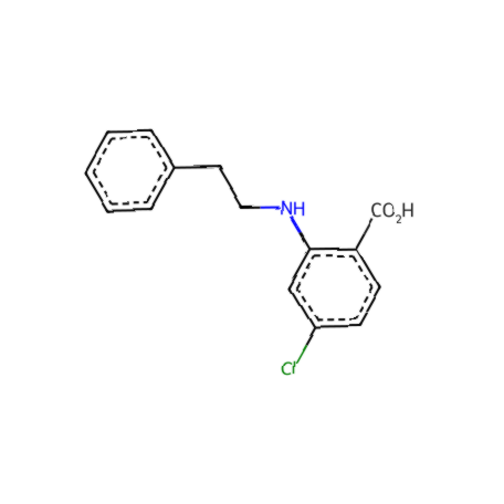 O=C(O)c1ccc(Cl)cc1NCCc1ccccc1